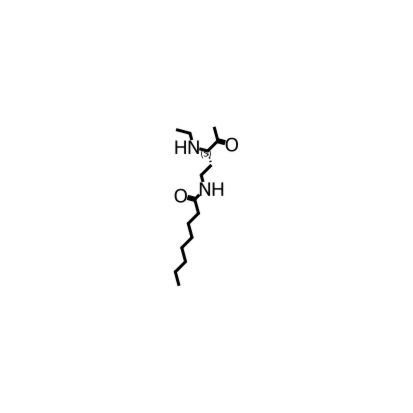 CCCCCCCC(=O)NCC[C@H](NCC)C(C)=O